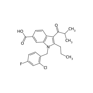 CCCc1c(C(=O)C(C)C)c2ccc(C(=O)O)cc2n1Cc1ccc(F)cc1Cl